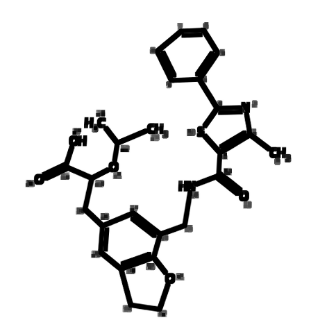 Cc1nc(-c2ccccc2)sc1C(=O)NCc1cc(CC(OC(C)C)C(=O)O)cc2c1OCC2